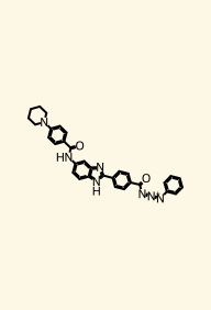 O=C(N=[N+]=Nc1ccccc1)c1ccc(-c2nc3cc(NC(=O)c4ccc(N5CCCCC5)cc4)ccc3[nH]2)cc1